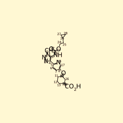 Cn1nnc(-c2ccc(O[C@H]3CCC[C@H](C(=O)O)C3)cn2)c1NC(=O)OCCC1CC1